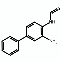 Nc1cc(-c2ccccc2)ccc1NC=S